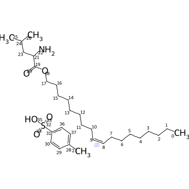 CCCCCCCC/C=C\CCCCCCCCOC(=O)C(N)CC(C)C.Cc1ccc(S(=O)(=O)O)cc1